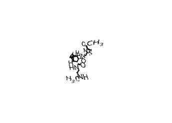 CNCCNC(=O)[C@H]1[C@H](C(=O)NCc2nc(C(C)=O)cs2)[C@@H]2C=C[C@H]1C21CC1